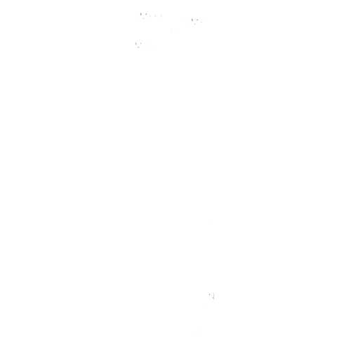 CO[Si](CCCCCCCCCCCCCCN=C=O)(OC)OC